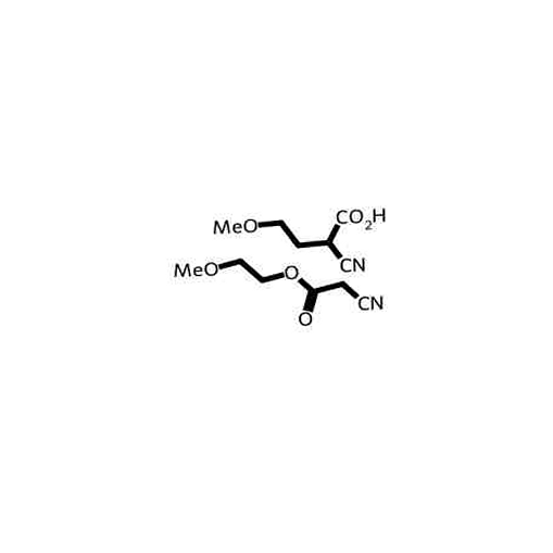 COCCC(C#N)C(=O)O.COCCOC(=O)CC#N